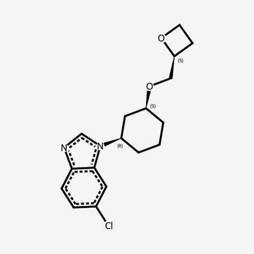 Clc1ccc2ncn([C@@H]3CCC[C@H](OC[C@@H]4CCO4)C3)c2c1